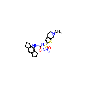 CN1CCc2cc([S@](N)(=O)=NC(=O)Nc3c4c(cc5c3CCC5)CCC4)sc2C1